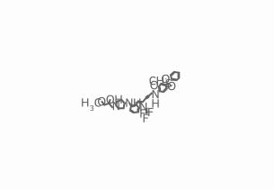 COCC(O)CN1CCC(Nc2cccc3c2cc(C#CCNc2ccc(S(=O)(=O)c4ccccc4)cc2OC)n3CC(F)(F)F)CC1